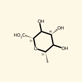 C[C@@H]1O[C@H](C(=O)O)C(O)[C@H](O)C1O